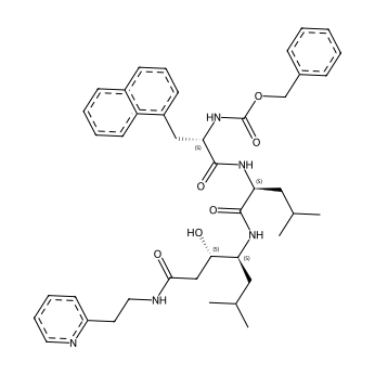 CC(C)C[C@H](NC(=O)[C@H](Cc1cccc2ccccc12)NC(=O)OCc1ccccc1)C(=O)N[C@@H](CC(C)C)[C@@H](O)CC(=O)NCCc1ccccn1